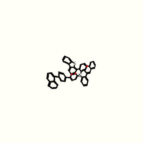 c1ccc(N(c2ccc(-c3ccc(-c4cccc5ccccc45)cc3)cc2)c2ccccc2-c2cccc3c2sc2ccccc23)c(-c2ccc3ccccc3c2)c1